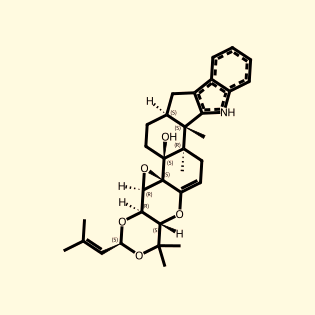 CC(C)=C[C@H]1O[C@H]2[C@H]3O[C@@]34C(=CC[C@@]3(C)[C@@]4(O)CC[C@H]4Cc5c([nH]c6ccccc56)[C@@]43C)O[C@@H]2C(C)(C)O1